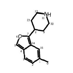 Cc1ccc2coc(C3CCNCC3)c2c1